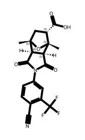 C[C@@]12O[C@@](C)(C[C@@H]1C(=O)O)[C@@H]1C(=O)N(c3ccc(C#N)c(C(F)(F)F)c3)C(=O)[C@@H]12